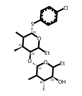 CCC1O[C@@H](O[C@@H]2C(CC)O[C@@H](Sc3ccc(Cl)cc3)C(C)[C@@H]2C)C(C)[C@@H](C)[C@@H]1O